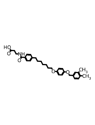 Cc1ccc(COc2ccc(OCCCCCCCc3ccc(C(=O)NCCC(=O)O)cc3)cc2)cc1C